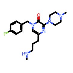 CNCCCc1cn(Cc2ccc(F)cc2)c(=O)c(N2CCN(C)CC2)n1